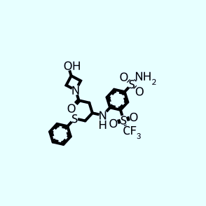 NS(=O)(=O)c1ccc(NC(CSc2ccccc2)CC(=O)N2CC(O)C2)c(S(=O)(=O)C(F)(F)F)c1